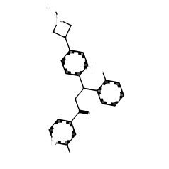 CC(=O)N1CC(c2ccc(C(CC(=O)c3ccnc(C)c3)c3ccccc3C)cc2)C1